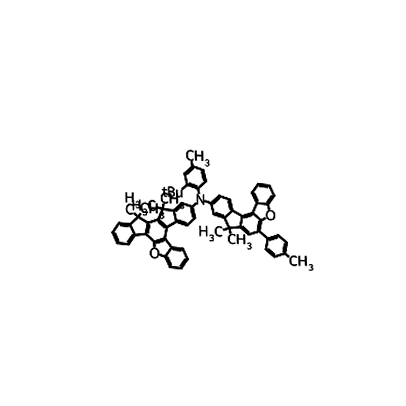 Cc1ccc(-c2cc3c(c4c2oc2ccccc24)-c2ccc(N(c4ccc5c(c4)C(C)(C)c4c6c(c7oc8ccccc8c7c4-5)-c4ccccc4C6(C)C)c4ccc(C)cc4C(C)(C)C)cc2C3(C)C)cc1